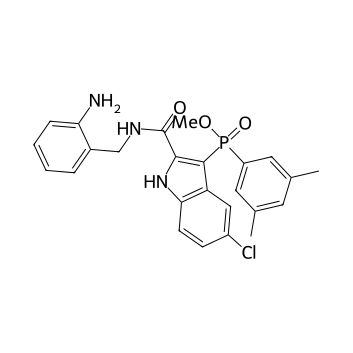 COP(=O)(c1cc(C)cc(C)c1)c1c(C(=O)NCc2ccccc2N)[nH]c2ccc(Cl)cc12